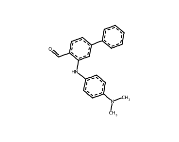 CN(C)c1ccc(Nc2cc(-c3ccccc3)ccc2C=O)cc1